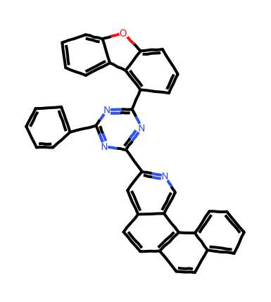 c1ccc(-c2nc(-c3cc4ccc5ccc6ccccc6c5c4cn3)nc(-c3cccc4oc5ccccc5c34)n2)cc1